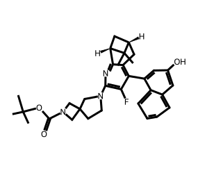 CC(C)(C)OC(=O)N1CC2(CCN(c3nc4c(c(-c5cc(O)cc6ccccc56)c3F)C[C@H]3C[C@@H]4C3(C)C)C2)C1